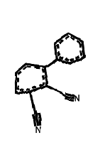 N#Cc1cccc(-c2ccccc2)c1C#N